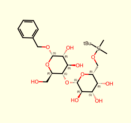 CC(C)(C)[Si](C)(C)OC[C@H]1O[C@@H](O[C@H]2[C@H](O)[C@@H](O)[C@@H](OCc3ccccc3)O[C@@H]2CO)[C@H](O)[C@@H](O)[C@H]1O